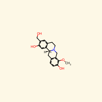 COc1c(O)ccc2c1CN1CCc3cc(CO)c(O)cc3[C@H]1C2